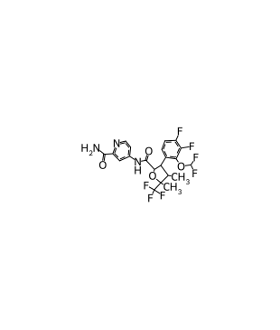 CC1C(c2ccc(F)c(F)c2OC(F)F)C(C(=O)Nc2ccnc(C(N)=O)c2)OC1(C)C(F)(F)F